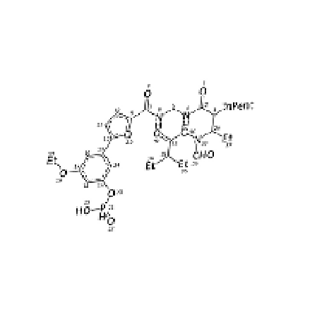 CCCCCC(C(=O)NCNC(=O)c1ccc(-c2cc(OCC)cc(O[PH](=O)O)c2)o1)C(CC)N(C=O)OC(=O)C(CC)CC